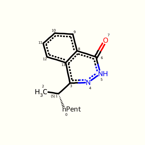 CCCCC[C@H](C)c1n[nH]c(=O)c2ccccc12